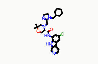 CC1(C)CN(CC2=NCCN2CC2CCCCC2)[C@H](C(=O)Nc2cc(Cl)cc3c2[nH]c2cnccc23)CO1